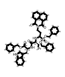 CC(C)C[C@H](NC(CCN1C(=O)c2cccc3cccc(c23)C1=O)P(=O)(OCc1ccccc1)OCc1ccccc1)C(=O)N[C@@H](Cc1c[nH]c2ccccc12)C(=O)OCc1ccccc1